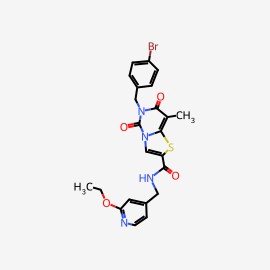 CCOc1cc(CNC(=O)c2cn3c(=O)n(Cc4ccc(Br)cc4)c(=O)c(C)c3s2)ccn1